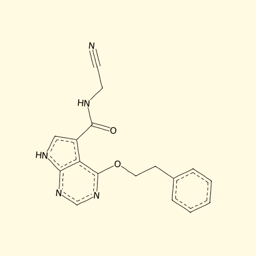 N#CCNC(=O)c1c[nH]c2ncnc(OCCc3ccccc3)c12